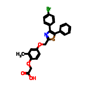 Cc1cc(OCc2nc(-c3ccc(Br)cc3)c(-c3ccccc3)s2)ccc1OCC(=O)O